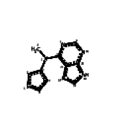 CN(c1ccsc1)c1ncnc2[nH]cnc12